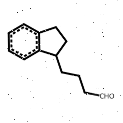 O=CCCCC1CCc2ccccc21